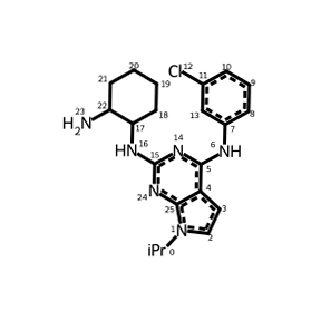 CC(C)n1ccc2c(Nc3cccc(Cl)c3)nc(NC3CCCCC3N)nc21